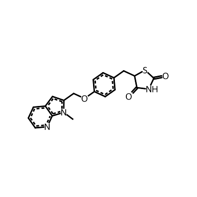 Cn1c(COc2ccc(CC3SC(=O)NC3=O)cc2)cc2cccnc21